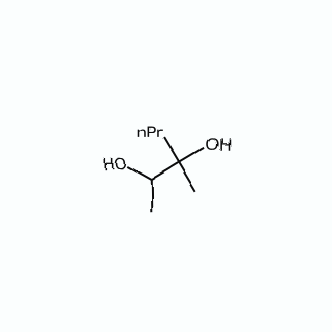 CCCC(C)(O)C(C)O